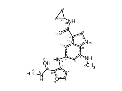 CNc1cc(Nc2ccoc2C(O)NC)nn2c(C(=O)NC3CC3)cnc12